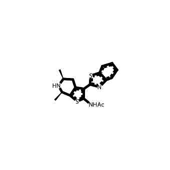 CC(=O)Nc1sc2c(c1-c1nc3ccccc3s1)C[C@H](C)N[C@@H]2C